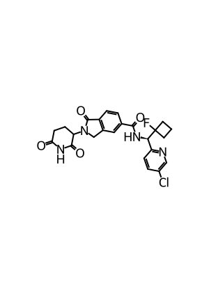 O=C1CCC(N2Cc3cc(C(=O)N[C@H](c4ccc(Cl)cn4)C4(F)CCC4)ccc3C2=O)C(=O)N1